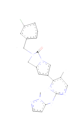 Cc1cnc(Nc2ccnn2C)nc1-c1cc2n(c1)C(=O)N([C@H](C)c1cccc(Cl)c1)C2